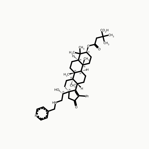 CC(C)C1=C2[C@H]3CC[C@@H]4[C@@]5(C)CC[C@H](OC(=O)CC(C)(C)C(=O)O)C(C)(C)[C@@H]5CC[C@@]4(C)[C@]3(C)CC[C@@]2([C@@H](O)CNCc2ccncc2)CC1=O